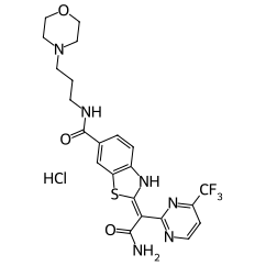 Cl.NC(=O)C(=C1Nc2ccc(C(=O)NCCCN3CCOCC3)cc2S1)c1nccc(C(F)(F)F)n1